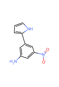 Nc1cc(-c2ccc[nH]2)cc([N+](=O)[O-])c1